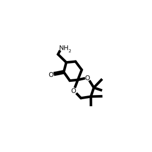 CC1(C)COC2(CCC(CN)C(=O)C2)OC1(C)C